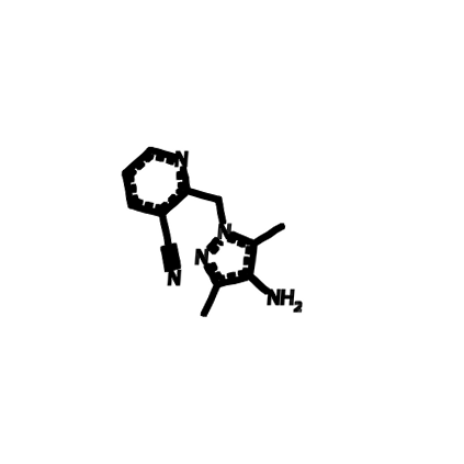 Cc1nn(Cc2ncccc2C#N)c(C)c1N